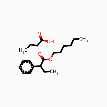 CCCC(=O)O.CCCCCCOC(=O)C(CC)c1ccccc1